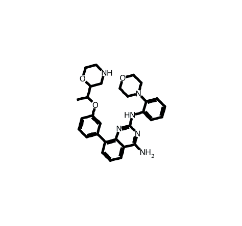 CC(Oc1cccc(-c2cccc3c(N)nc(Nc4ccccc4N4CCOCC4)nc23)c1)C1CNCCO1